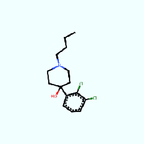 CCCCN1CCC(O)(c2cccc(Cl)c2Cl)CC1